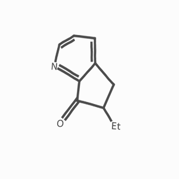 CCC1Cc2cccnc2C1=O